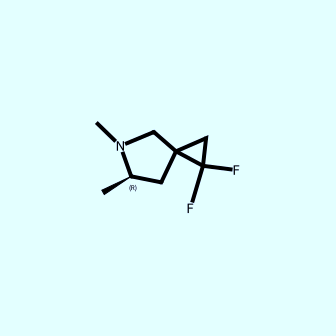 C[C@@H]1CC2(CN1C)CC2(F)F